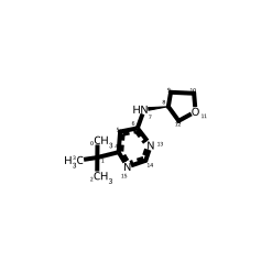 CC(C)(C)c1cc(N[C@H]2CCOC2)ncn1